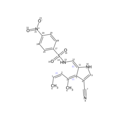 C\C=C/C(C)=c1/c(C#N)c[nH]/c1=C/NS(=O)(=O)c1ccc([N+](=O)[O-])cc1